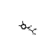 CCCC(CCC)NC(=O)c1ccc(C)c(C)c1